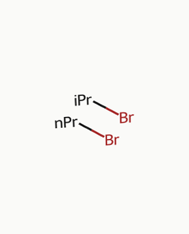 CC(C)Br.CCCBr